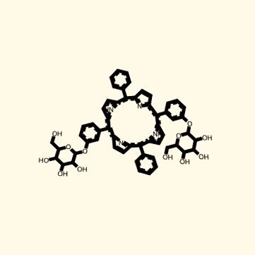 OCC1OC(Oc2cccc(-c3c4nc(c(-c5ccccc5)c5ccc([nH]5)c(-c5cccc(OC6OC(CO)C(O)C(O)C6O)c5)c5nc(c(-c6ccccc6)c6ccc3[nH]6)C=C5)C=C4)c2)C(O)C(O)C1O